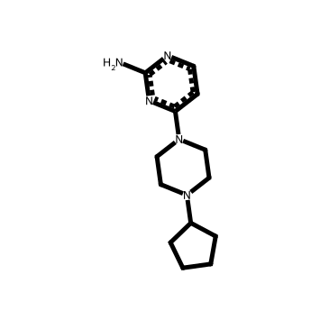 Nc1nccc(N2CCN(C3CCCC3)CC2)n1